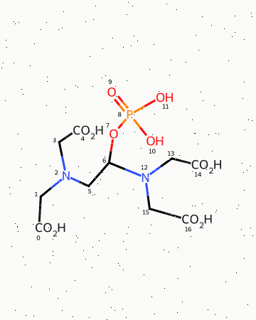 O=C(O)CN(CC(=O)O)CC(OP(=O)(O)O)N(CC(=O)O)CC(=O)O